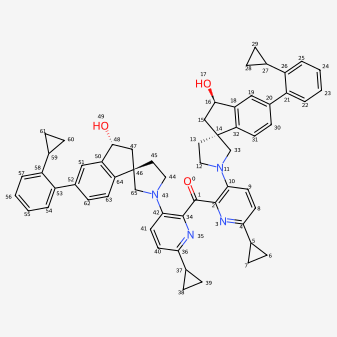 O=C(c1nc(C2CC2)ccc1N1CC[C@@]2(C[C@@H](O)c3cc(-c4ccccc4C4CC4)ccc32)C1)c1nc(C2CC2)ccc1N1CC[C@@]2(C[C@@H](O)c3cc(-c4ccccc4C4CC4)ccc32)C1